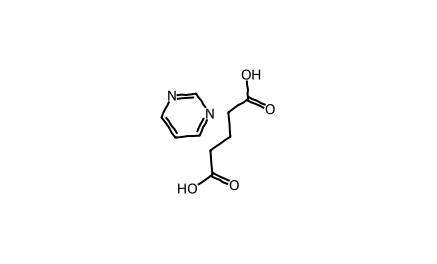 O=C(O)CCCC(=O)O.c1cncnc1